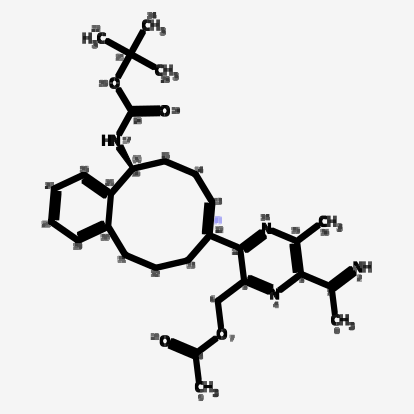 CC(=N)c1nc(COC(C)=O)c(/C2=C/CC[C@H](NC(=O)OC(C)(C)C)c3ccccc3CCC2)nc1C